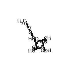 CCOCCOCCOCCCNC(=O)CN1CCN(CC(=O)O)CCN(CC(=O)O)CCN(CC(=O)O)CC1